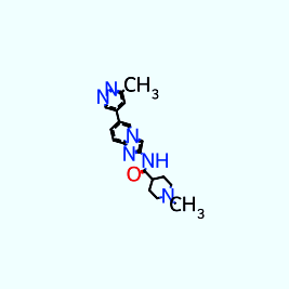 Cc1cc(-c2ccc3nc(NC(=O)C4CCN(C)CC4)cn3c2)cnn1